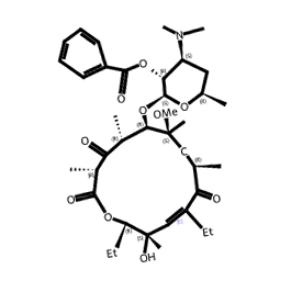 CC/C1=C\[C@](C)(O)[C@@H](CC)OC(=O)[C@H](C)C(=O)[C@H](C)[C@@H](O[C@@H]2O[C@H](C)C[C@H](N(C)C)[C@H]2OC(=O)c2ccccc2)[C@@](C)(OC)C[C@@H](C)C1=O